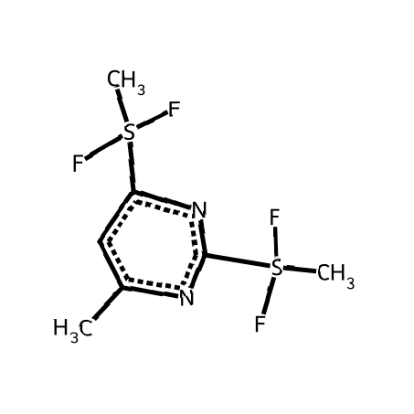 Cc1cc(S(C)(F)F)nc(S(C)(F)F)n1